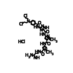 Cl.Cn1cc(NC(=O)c2cc(NC(=O)c3nc(NC(=O)c4ccc(N(CCCl)CCCl)cc4)n[nH]3)nn2C)cc1C(=O)NCCC(=N)N